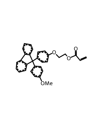 C=CC(=O)OCCOc1ccc(C2(c3ccc(OC)cc3)c3ccccc3-c3ccccc32)cc1